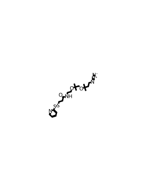 CC(C)(CCN=[N+]=[N-])OCC(C)(C)OCCNC(=O)CCSSc1ccccn1